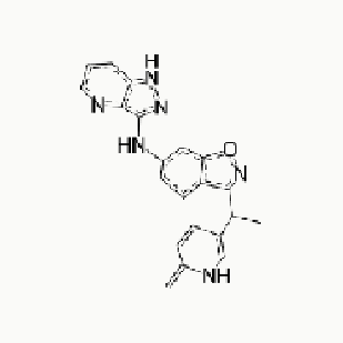 C=C1C=CC(C(C)c2noc3cc(Nc4n[nH]c5cccnc45)ccc23)=CN1